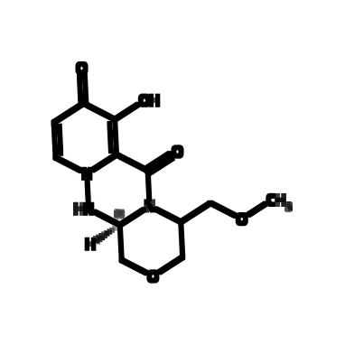 COCC1COC[C@H]2Nn3ccc(=O)c(O)c3C(=O)N12